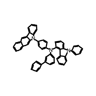 c1ccc(-c2cccc(N(c3ccc(-n4c5ccccc5c5cc6ccccc6cc54)cc3)c3cccc4c3c3ccccc3n4-c3ccccc3)c2)cc1